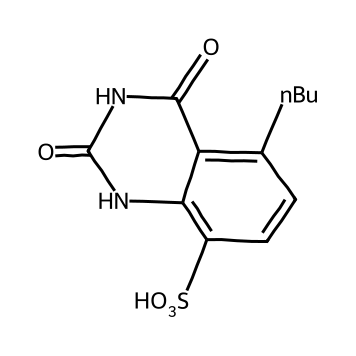 CCCCc1ccc(S(=O)(=O)O)c2[nH]c(=O)[nH]c(=O)c12